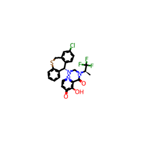 C[C@@H](N1CN([C@H]2c3ccc(Cl)cc3CSc3ccccc32)n2ccc(=O)c(O)c2C1=O)C(F)(F)F